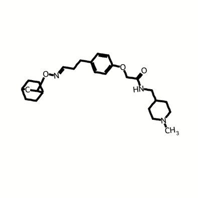 CN1CCC(CNC(=O)COc2ccc(CCC=NOC3CC4CCC3CC4)cc2)CC1